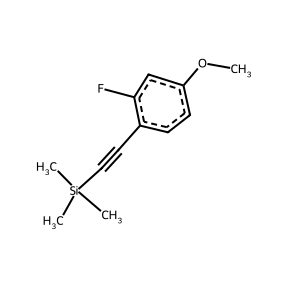 COc1ccc(C#C[Si](C)(C)C)c(F)c1